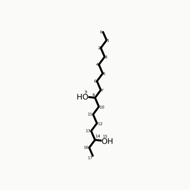 CCCCCCCCC(O)CCCCC(O)CC